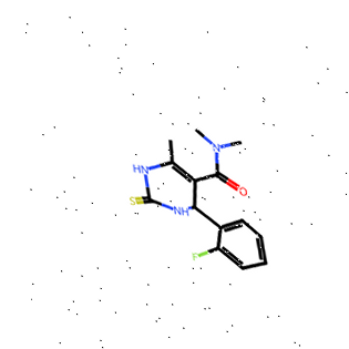 CC1=C(C(=O)N(C)C)C(c2ccccc2F)NC(=S)N1